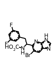 O=C(O)NC(Cc1cc(F)cc(F)c1)c1nc2[nH]cnc2cc1Br